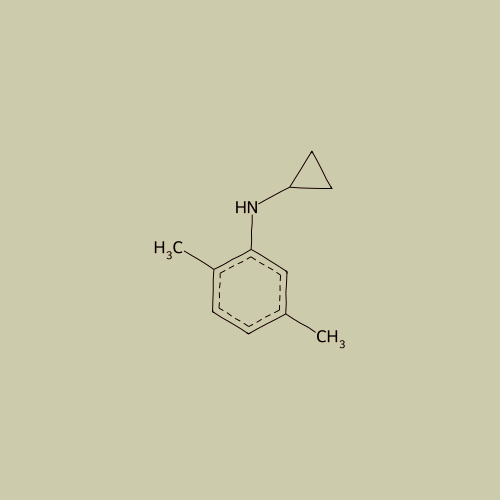 Cc1ccc(C)c(NC2CC2)c1